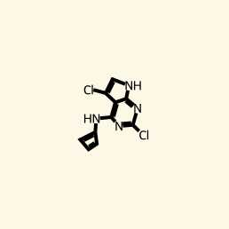 Clc1nc(NC2=CC=C2)c2c(Cl)c[nH]c2n1